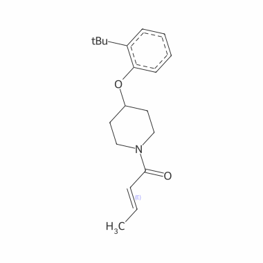 C/C=C/C(=O)N1CCC(Oc2ccccc2C(C)(C)C)CC1